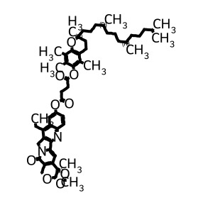 CCc1c2c(nc3ccc(OC(=O)CCC(=O)Oc4c(C)c(C)c5c(c4C)CC[C@@](C)(CCC[C@H](C)CCC[C@H](C)CCCC(C)C)O5)cc13)-c1cc3c(c(=O)n1C2)COC(=O)[C@@]3(C)OC